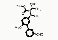 COc1ccc(N(C)N(C(=O)OC(C)(C)C)[C@@H](C)C=O)cc1-c1cccc(C=O)c1